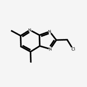 CC1=CC(C)=NC2=NC(CCl)=NC12